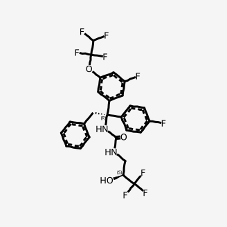 O=C(NC[C@H](O)C(F)(F)F)N[C@](Cc1ccccc1)(c1ccc(F)cc1)c1cc(F)cc(OC(F)(F)C(F)F)c1